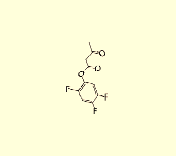 CC(=O)CC(=O)Oc1cc(F)c(F)cc1F